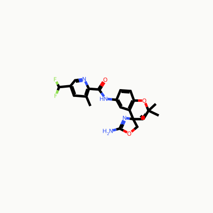 Cc1cc(C(F)F)cnc1C(=O)Nc1ccc2c(c1)C1(COC(N)=N1)C1(COC1)C(C)(C)O2